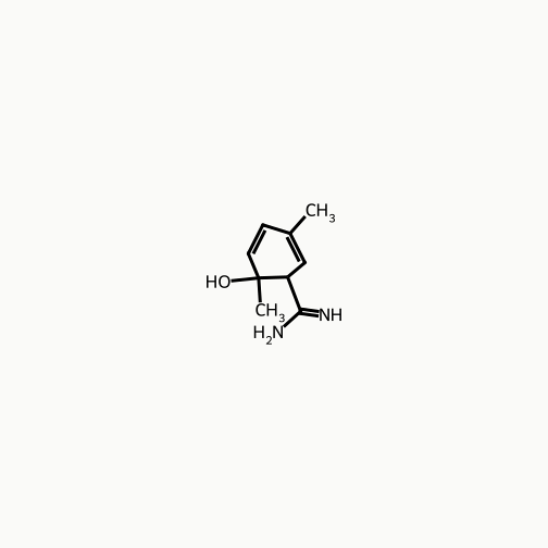 CC1=CC(C(=N)N)C(C)(O)C=C1